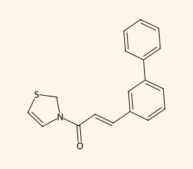 O=C(/C=C/c1cccc(-c2ccccc2)c1)N1C=CSC1